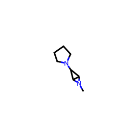 CN1C2C(N3CCCC3)C21